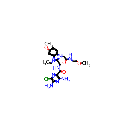 CCn1c(CNC(=O)c2nc(Cl)c(N)nc2N)[n+](CC(=O)NCCOC)c2ccc(OC)cc21